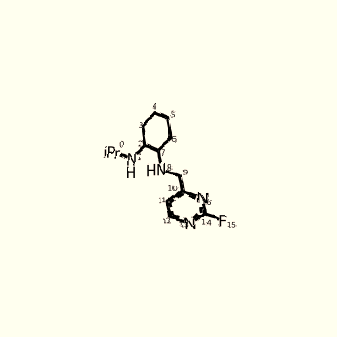 CC(C)NC1CCCCC1NCc1ccnc(F)n1